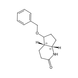 O=C1CC[C@@H]2C(OCc3ccccc3)CC[C@@H]2N1